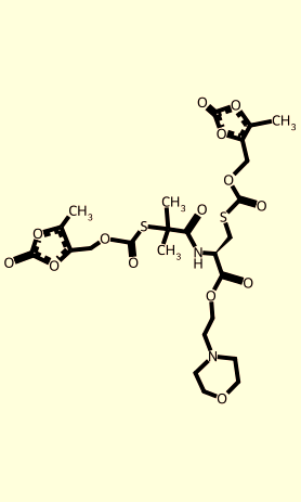 Cc1oc(=O)oc1COC(=O)SC[C@H](NC(=O)C(C)(C)SC(=O)OCc1oc(=O)oc1C)C(=O)OCCN1CCOCC1